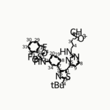 C[S+]([O-])CCNc1nccc(-c2sc(C(C)(C)C)nc2-c2cccc(NS(=O)(=O)c3c(F)cccc3F)c2)n1